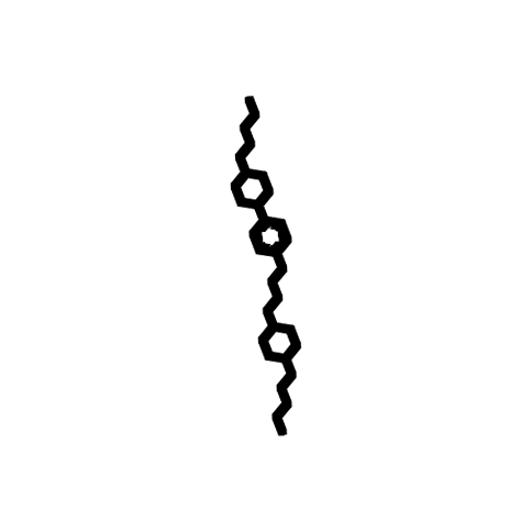 CCCCCC1CCC(CCCCc2ccc(C3CCC(CCCCC)CC3)cc2)CC1